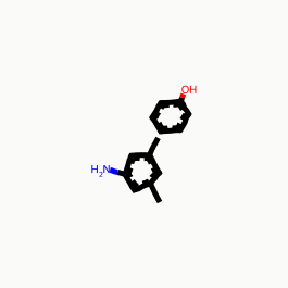 Cc1cc(C)cc(N)c1.Oc1ccccc1